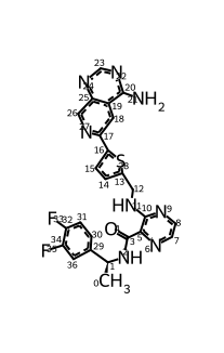 C[C@H](NC(=O)c1nccnc1NCc1ccc(-c2cc3c(N)ncnc3cn2)s1)c1ccc(F)c(F)c1